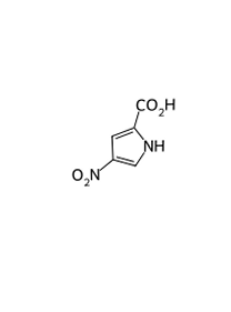 O=C(O)c1cc([N+](=O)[O-])c[nH]1